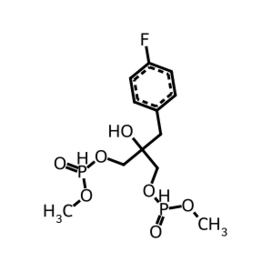 CO[PH](=O)OCC(O)(CO[PH](=O)OC)Cc1ccc(F)cc1